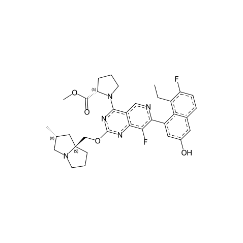 CCc1c(F)ccc2cc(O)cc(-c3ncc4c(N5CCC[C@H]5C(=O)OC)nc(OC[C@@]56CCCN5C[C@H](C)C6)nc4c3F)c12